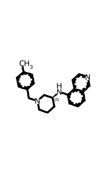 Cc1ccc(CN2CCC[C@H](Nc3cccc4cnccc34)C2)cc1